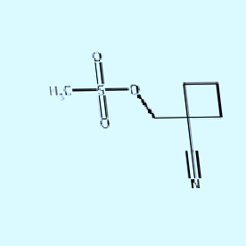 CS(=O)(=O)OCC1(C#N)CCC1